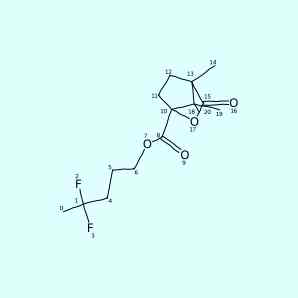 CC(F)(F)CCCOC(=O)C12CCC(C)(C(=O)O1)C2(C)C